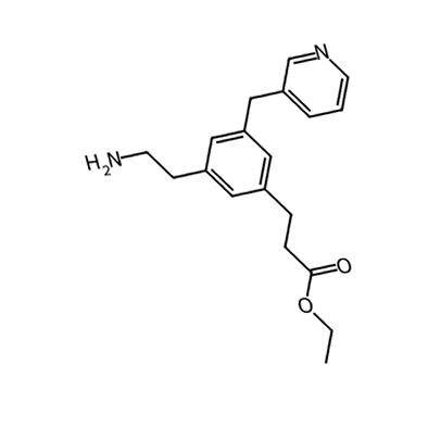 CCOC(=O)CCc1cc(CCN)cc(Cc2cccnc2)c1